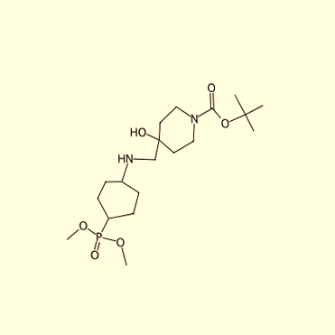 COP(=O)(OC)C1CCC(NCC2(O)CCN(C(=O)OC(C)(C)C)CC2)CC1